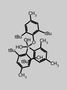 Cc1cc(C(C)(C)C)c(OP(O)(O)(c2c(C)cc(C)cc2C(C)(C)C)c2c(C)cc(C)cc2C(C)(C)C)c(C(C)(C)C)c1